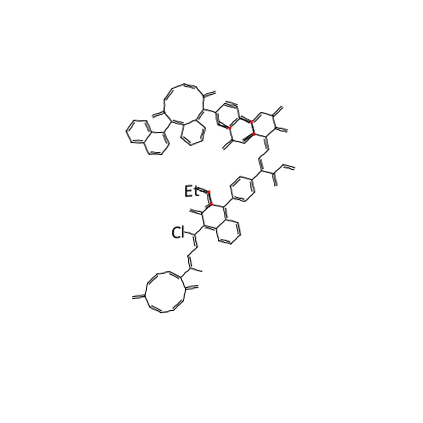 C=CC(=C)/C=C\C(=C/C(=C)C(=C)/C(=C/C=C(\C(=C)C=C)c1ccc(\C(C(=C)C=C)=c2/cccc/c2=C(C(=C)/C=C\CC)\C(Cl)=C\C=C(/C)c2cccc(=C)ccccc2=C)cc1)C(=C)C=C)c1c#cc(-c2c(=C)ccccc(=C)c(-c3cccc4ccccc34)c3ccccc23)cc1